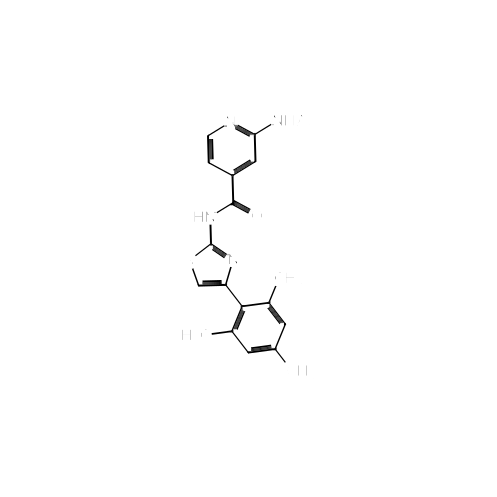 CC(=O)Nc1cc(C(=O)Nc2nc(-c3c(C)cc(C)cc3C)cs2)ccn1